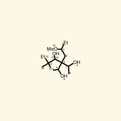 CCC(CC(C(C)O)(C(C)O)C(O)C(C)(C)CC)OC